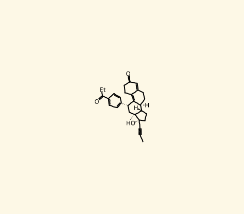 CC#C[C@]1(O)CC[C@H]2[C@@H]3CCC4=CC(=O)CCC4=C3[C@@H](c3ccc(C(=O)CC)cc3)C[C@@]21C